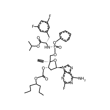 C#C[C@]1(CO[P@@](=O)(N[C@@H](Cc2cc(F)cc(F)c2)C(=O)OC(C)C)Oc2ccccc2)O[C@@H](n2cnc3c(N)nc(F)nc32)C[C@@H]1OC(=O)OC(CCC)CCC